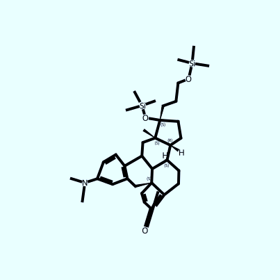 CN(C)c1ccc2c(c1)C[C@]13C=CC(=O)C=C1CC[C@@H]1C3C2C[C@@]2(C)[C@@H]1CC[C@@]2(CCCO[Si](C)(C)C)O[Si](C)(C)C